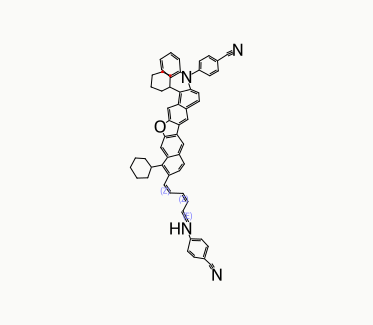 N#Cc1ccc(N/C=C/C=C\C=C/c2ccc3cc4c(cc3c2C2CCCCC2)oc2cc3c(C5CCCCC5)c(N(c5ccccc5)c5ccc(C#N)cc5)ccc3cc24)cc1